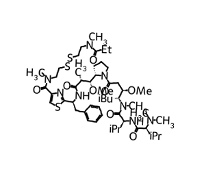 CCC(=O)N(C)CCSSCCN(C)C(=O)c1csc([C@H](Cc2ccccc2)NC(=O)[C@H](C)[C@@H](OC)[C@@H]2CCCN2C(=O)C[C@@H](OC)[C@H]([C@@H](C)CC)N(C)C(=O)[C@@H](NC(=O)[C@H](C(C)C)N(C)C)C(C)C)n1